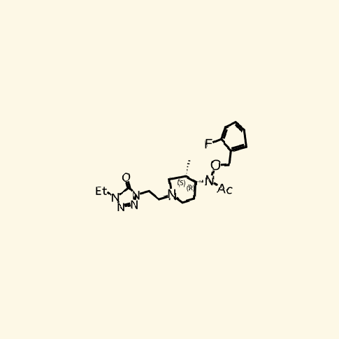 CCn1nnn(CCN2CC[C@@H](N(OCc3ccccc3F)C(C)=O)[C@@H](C)C2)c1=O